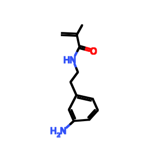 C=C(C)C(=O)NCCc1cccc(N)c1